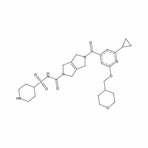 O=C(NS(=O)(=O)C1CCNCC1)N1CC2=C(C1)CN(C(=O)c1cc(OCC3CCOCC3)nc(C3CC3)c1)C2